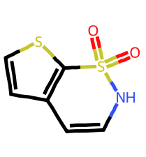 O=S1(=O)NC=Cc2ccsc21